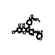 CC1(C(N)=O)CCC(n2c(Nc3c(Cl)cc(Cl)cc3Cl)nc3cnc(N[C@@H]4CCOC[C@H]4F)nc32)CC1